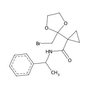 CC(NC(=O)C1(C2(CBr)OCCO2)CC1)c1ccccc1